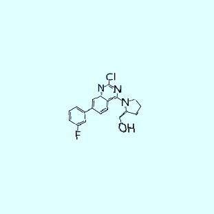 OCC1CCCN1c1nc(Cl)nc2cc(-c3cccc(F)c3)ccc12